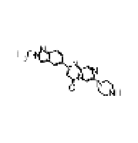 Cn1cc2cc(-c3cc(=O)n4cc(N5CCNCC5)ncc4n3)ccc2n1